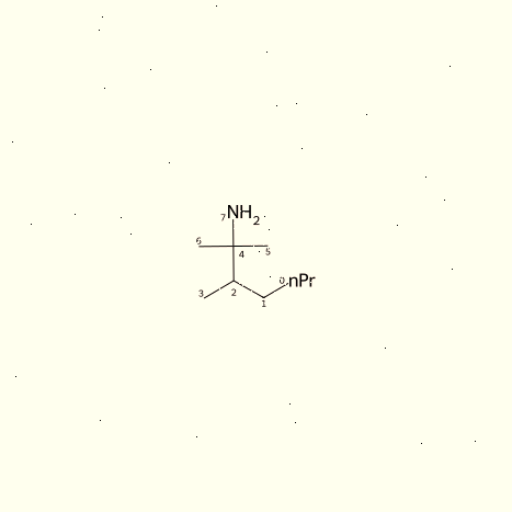 CCCCC(C)C(C)(C)N